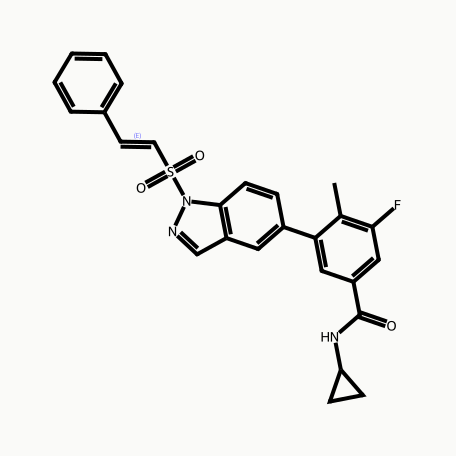 Cc1c(F)cc(C(=O)NC2CC2)cc1-c1ccc2c(cnn2S(=O)(=O)/C=C/c2ccccc2)c1